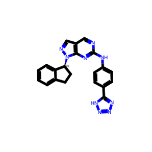 c1ccc2c(c1)CC[C@@H]2n1ncc2cnc(Nc3ccc(-c4nnn[nH]4)cc3)nc21